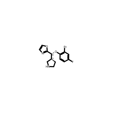 CCc1cc(F)ccc1O[C@@H](c1ncco1)[C@H]1CCNC1